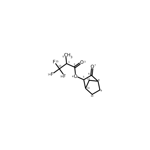 CC(C(=O)OC1C(=O)C2CCC1C2)C(F)(F)F